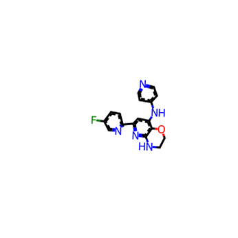 Fc1ccc(-c2cc(Nc3ccncc3)c3c(n2)NCCO3)nc1